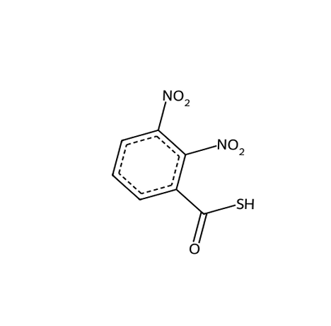 O=C(S)c1cccc([N+](=O)[O-])c1[N+](=O)[O-]